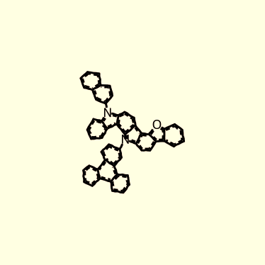 c1ccc2cc(-n3c4ccccc4c4c3ccc3c5c6oc7ccccc7c6ccc5n(-c5ccc6c7ccccc7c7ccccc7c6c5)c34)ccc2c1